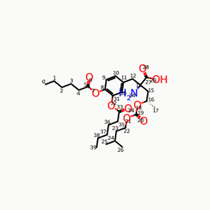 CCCCCC(=O)Oc1ccc(CC(N)(C[C@H](C)OC(=O)OCCC(C)C)C(=O)O)cc1OC(=O)CCCCC